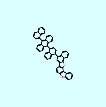 c1ccc2c(-c3c4ccccc4c(-c4ccc(-c5cc6c7ccc8oc9ccccc9c8c7oc6c6ccccc56)c5ccccc45)c4ccccc34)cccc2c1